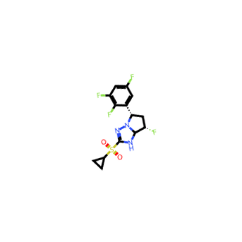 O=S(=O)(C1=NN2C(N1)[C@@H](F)C[C@H]2c1cc(F)cc(F)c1F)C1CC1